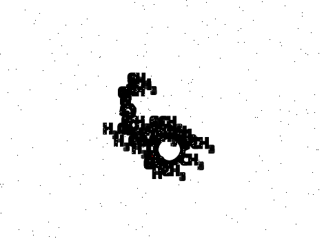 COC1=C(Cl)C2CC(=C1)CC(C)CCC[C@@H](OC)[C@@]1(O)C[C@H](OC(=O)N1)[C@@H](C)[C@@H]1O[C@@]1(C)[C@@H](OC(=O)[C@H](C)N(C)C(=O)CCSC(=O)N(C)CCN(C)C(=O)OC1/C=C/CC(OCC(=O)NCC(C)C)CCC1)CC(O)C2